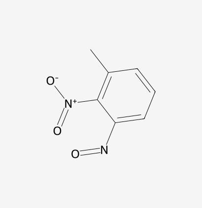 Cc1cccc(N=O)c1[N+](=O)[O-]